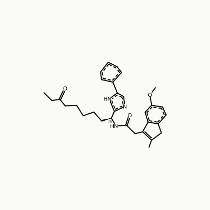 CCC(=O)CCCCC[C@H](NC(=O)CC1=C(C)Cc2ccc(OC)cc21)c1ncc(-c2ccccc2)[nH]1